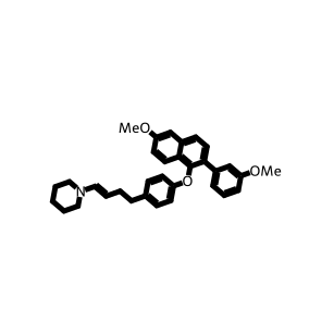 COc1cccc(-c2ccc3cc(OC)ccc3c2Oc2ccc(CCC=CN3CCCCC3)cc2)c1